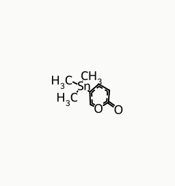 [CH3][Sn]([CH3])([CH3])[c]1ccc(=O)oc1